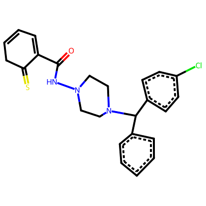 O=C(NN1CCN(C(c2ccccc2)c2ccc(Cl)cc2)CC1)C1=CC=CCC1=S